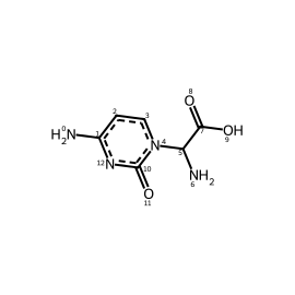 Nc1ccn(C(N)C(=O)O)c(=O)n1